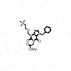 COC(=O)Cn1c(=O)c2c(ncn2Cc2ccccc2)n(COCC[Si](C)(C)C)c1=O